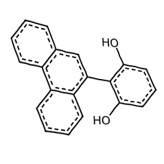 Oc1cccc(O)c1-c1cc2ccccc2c2ccccc12